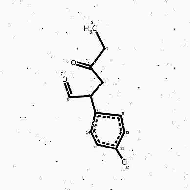 CCC(=O)CC(C=O)c1ccc(Cl)cc1